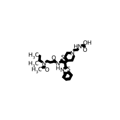 CCC(C)N(CCC(=O)Nc1sc2c(c1-c1nc3ccccc3s1)CCN(CCNC(=O)O)C2)C(C)=O